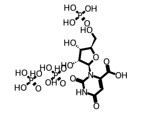 O=C(O)c1cc(=O)[nH]c(=O)n1[C@@H]1O[C@H](CO)[C@@H](O)[C@H]1O.O=P(O)(O)O.O=P(O)(O)O.O=P(O)(O)O